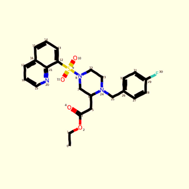 CCOC(=O)CC1CN(S(=O)(=O)c2cccc3cccnc23)CCN1Cc1ccc(F)cc1